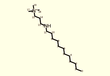 CCCCCCCCCCCCNCCC[N+](C)(C)C